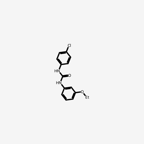 CCOc1cccc(NC(=O)Nc2ccc(Cl)cc2)c1